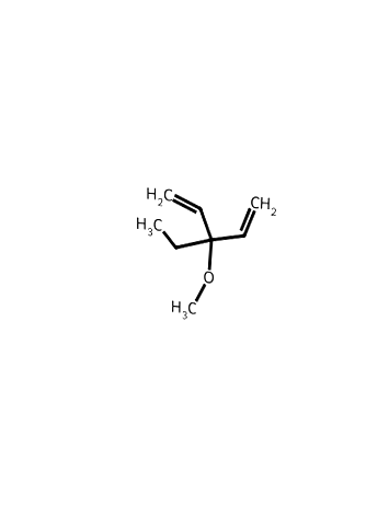 C=CC(C=C)(CC)OC